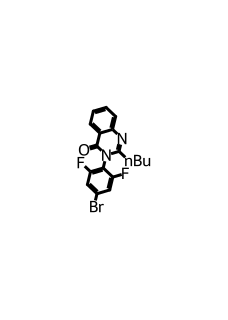 CCCCc1nc2ccccc2c(=O)n1-c1c(F)cc(Br)cc1F